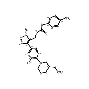 CCOC(=O)C[C@H]1CCCN(c2ncc(-c3nnn(C)c3COC(=O)Oc3ccc([N+](=O)[O-])cc3)nc2CC)C1